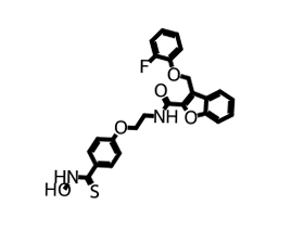 O=C(NCCOc1ccc(C(=S)NO)cc1)c1oc2ccccc2c1COc1ccccc1F